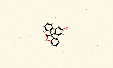 O=C1Oc2ccccc2C1(c1ccccc1)c1ccc(O)cc1